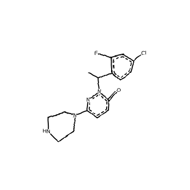 CC(c1ccc(Cl)cc1F)n1nc(N2CCNCC2)ccc1=O